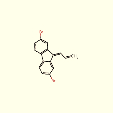 C=CC=C1c2cc(Br)ccc2-c2ccc(Br)cc21